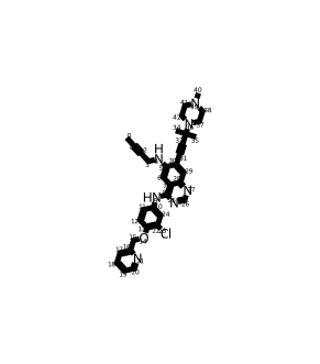 CC#CCNc1cc2c(Nc3ccc(OCc4ccccn4)c(Cl)c3)ncnc2cc1C#CC(C)(C)N1CCN(C)CC1